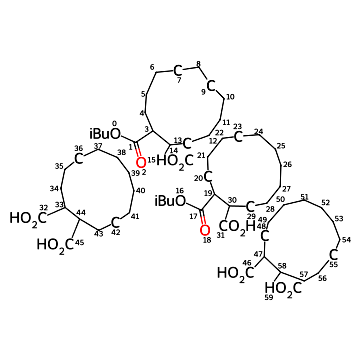 CC(C)COC(=O)C1CCCCCCCCCCC1C(=O)O.CC(C)COC(=O)C1CCCCCCCCCCC1C(=O)O.O=C(O)C1CCCCCCCCCCC1C(=O)O.O=C(O)C1CCCCCCCCCCC1C(=O)O